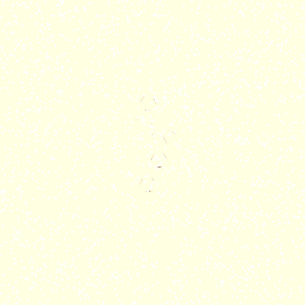 C[C@@H](OC(=O)Nc1cc(F)sc1-c1ccc(-c2ccc(C3CC3)cc2)cc1)c1ccccc1F